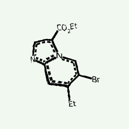 CCOC(=O)c1cnc2cc(CC)c(Br)cn12